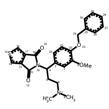 COc1cc(C(CCN(C)C)N2C(=O)c3cscc3C2=O)ccc1OCc1ccccc1